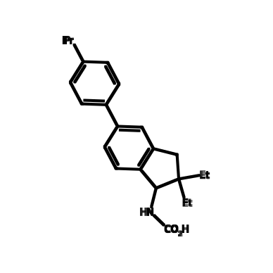 CCC1(CC)Cc2cc(-c3ccc(C(C)C)cc3)ccc2C1NC(=O)O